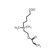 C=CC(=O)OCC[N+](C)(C)CCCCC(=O)[O-]